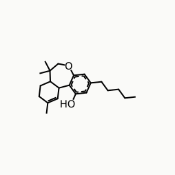 CCCCCc1cc(O)c2c(c1)OCC(C)(C)C1CCC(C)=CC21